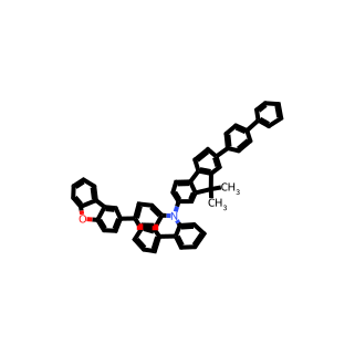 CC1(C)c2cc(-c3ccc(-c4ccccc4)cc3)ccc2-c2ccc(N(c3ccc(-c4ccc5oc6ccccc6c5c4)cc3)c3ccccc3-c3ccccc3)cc21